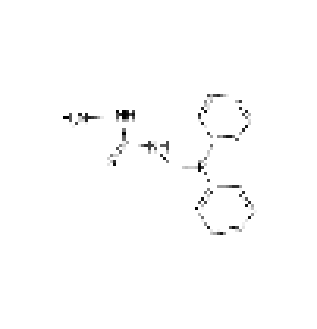 NNC(=S)NCP(c1ccccc1)c1ccccc1